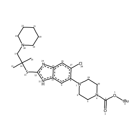 CC(C)(C)OC(=O)N1CCN(c2cc3[nH]c(SC(C)(C)CN4CCCCC4)nc3cc2Cl)CC1